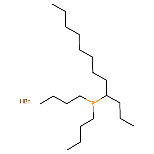 Br.CCCCCCCCC(CCC)P(CCCC)CCCC